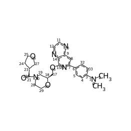 CN(C)c1ccc(-c2cc3nccnc3c(OC[C@@H]3CN(C(=O)[C@H]4CCOC4)CCO3)n2)cc1